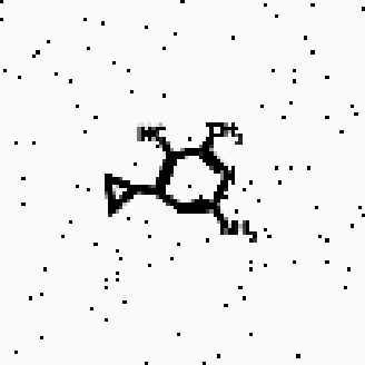 Cc1nc(N)cc(C2CC2)c1C#N